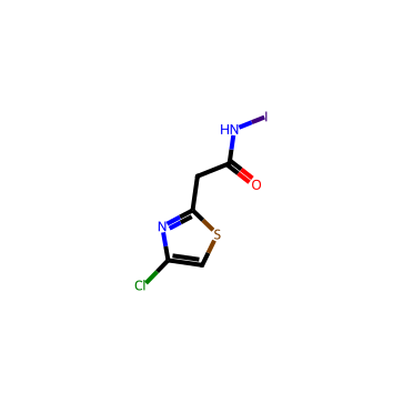 O=C(Cc1nc(Cl)cs1)NI